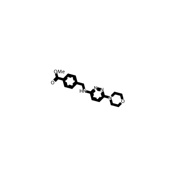 COC(=O)c1ccc(CNc2ccc(N3CCOCC3)nn2)cc1